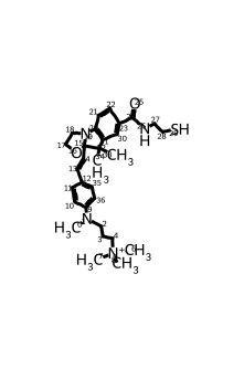 CN(CCC[N+](C)(C)C)c1ccc(/C=C/C23OCCN2c2ccc(C(=O)NCCS)cc2C3(C)C)cc1